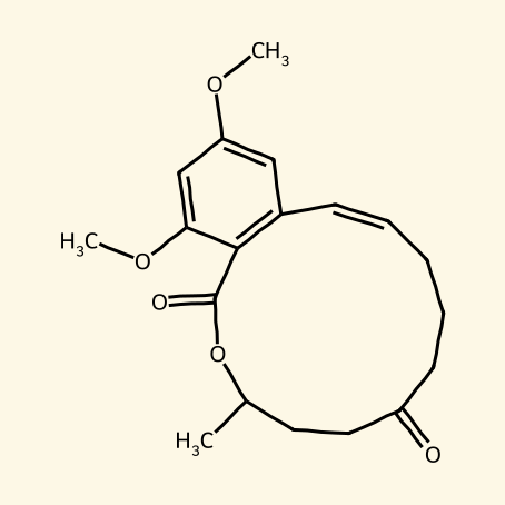 COc1cc2c(c(OC)c1)C(=O)OC(C)CCC(=O)CCC/C=C\2